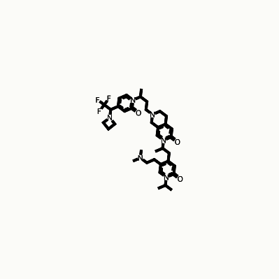 CC(C)n1cc(CCN(C)C)c(CC(C)n2cc3c(cc2=O)CCN(CCC(C)n2ccc(C(N4CCC4)C(F)(F)F)cc2=O)C3)cc1=O